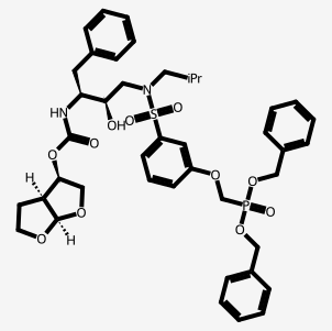 CC(C)CN(C[C@@H](O)[C@H](Cc1ccccc1)NC(=O)O[C@H]1CO[C@H]2OCC[C@H]21)S(=O)(=O)c1cccc(OCP(=O)(OCc2ccccc2)OCc2ccccc2)c1